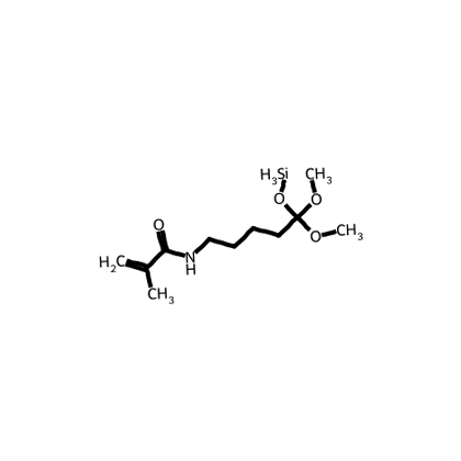 C=C(C)C(=O)NCCCCC(OC)(OC)O[SiH3]